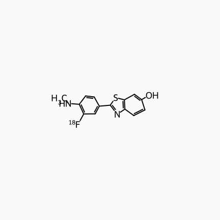 CNc1ccc(-c2nc3ccc(O)cc3s2)cc1[18F]